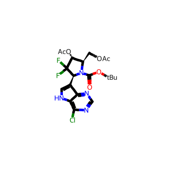 CC(=O)OC[C@@H]1[C@@H](OC(C)=O)C(F)(F)[C@H](c2c[nH]c3c(Cl)ncnc23)N1C(=O)OC(C)(C)C